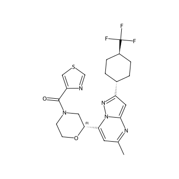 Cc1cc([C@H]2CN(C(=O)c3cscn3)CCO2)n2nc([C@H]3CC[C@H](C(F)(F)F)CC3)cc2n1